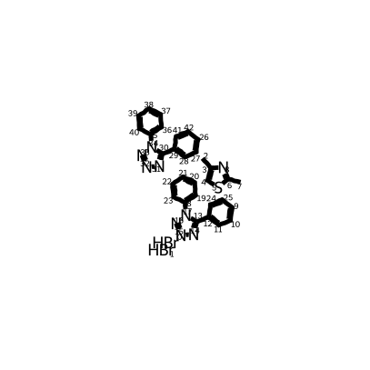 Br.Br.Cc1csc(C)n1.c1ccc(-c2nnnn2-c2ccccc2)cc1.c1ccc(-c2nnnn2-c2ccccc2)cc1